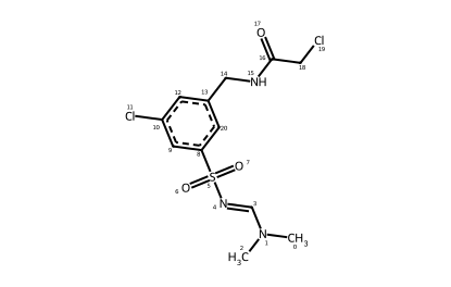 CN(C)/C=N/S(=O)(=O)c1cc(Cl)cc(CNC(=O)CCl)c1